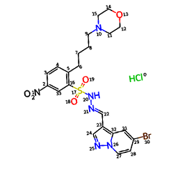 Cl.O=[N+]([O-])c1ccc(CCCCN2CCOCC2)c(S(=O)(=O)NN=Cc2cnn3ccc(Br)cc23)c1